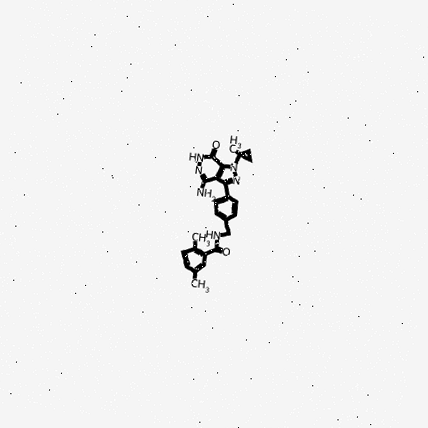 Cc1ccc(C)c(C(=O)NCc2ccc(-c3nn(C4(C)CC4)c4c(=O)[nH]nc(N)c34)cc2)c1